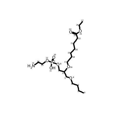 CCCCOCC(COP(=O)(O)OCCN)OCCCCCCC(=O)OCC